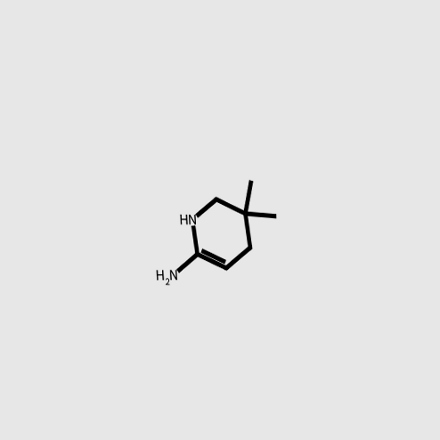 CC1(C)CC=C(N)NC1